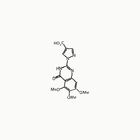 COc1cc2nc(-n3cc(C(=O)O)cn3)[nH]c(=O)c2c(OC)c1OC